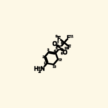 NC1=CC=C(S(=O)(=O)C(F)(F)F)CC1